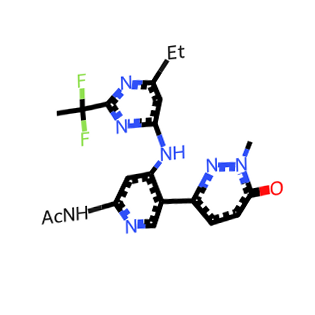 CCc1cc(Nc2cc(NC(C)=O)ncc2-c2ccc(=O)n(C)n2)nc(C(C)(F)F)n1